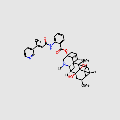 CCN1C[C@]2(OC(=O)c3ccccc3NC(=O)/C=C(\C)c3cccnc3)CC[C@H](OC)[C@]34C1[C@@H](C[C@H]23)[C@@]1(O)C[C@H](OC)C2[C@H]3C[C@@H]4[C@]1(O)[C@@H]23